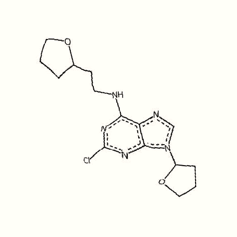 Clc1nc(NCCC2CCCO2)c2ncn(C3CCCO3)c2n1